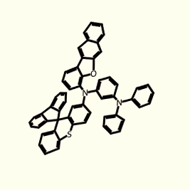 c1ccc(N(c2ccccc2)c2cccc(N(c3ccc4c(c3)C3(c5ccccc5S4)c4ccccc4-c4ccccc43)c3cccc4c3oc3cc5ccccc5cc34)c2)cc1